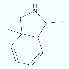 CC1NCC2(C)C=CC=CC12